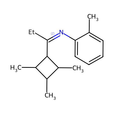 CC/C(=N/c1ccccc1C)C1C(C)C(C)C1C